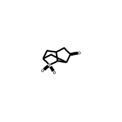 O=C1CC2CC3CC1C2S3(=O)=O